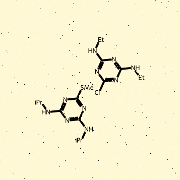 CCNc1nc(Cl)nc(NCC)n1.CSc1nc(NC(C)C)nc(NC(C)C)n1